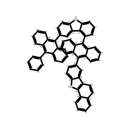 c1ccc(-c2c3ccccc3c(-c3ccc4oc5cccc(-c6c7ccccc7c(-c7ccc8oc9c%10ccccc%10ccc9c8c7)c7ccccc67)c5c4c3)c3ccccc23)cc1